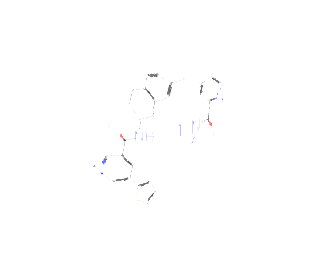 CNC(=O)c1cc(Oc2ccc3c(c2)CC(NC(=O)c2cncc(-c4cccs4)c2)CC3)ccn1